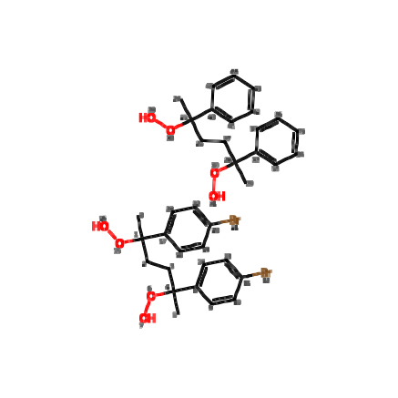 CC(CCC(C)(OO)c1ccc(Br)cc1)(OO)c1ccc(Br)cc1.CC(CCC(C)(OO)c1ccccc1)(OO)c1ccccc1